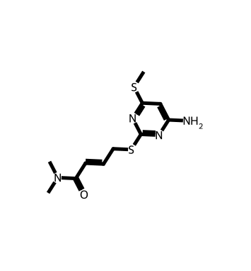 CSc1cc(N)nc(SC/C=C/C(=O)N(C)C)n1